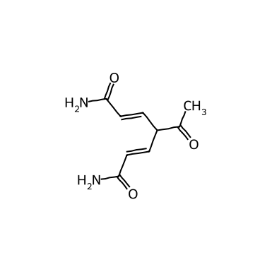 CC(=O)C(C=CC(N)=O)C=CC(N)=O